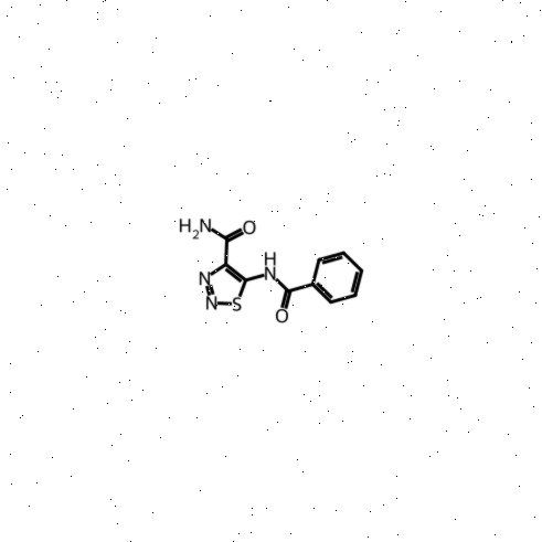 NC(=O)c1nnsc1NC(=O)c1ccccc1